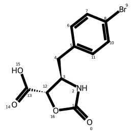 O=C1N[C@H](Cc2ccc(Br)cc2)[C@@H](C(=O)O)O1